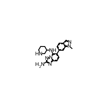 Cn1ncc2ccc(-c3ccc4nc(N)nn4c3NC3CCCNC3)cc21